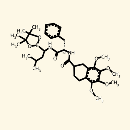 COc1c2c(c(OC)c(OC)c1OC)CC(C(=O)N[C@@H](Cc1ccccc1)C(=O)NC(CC(C)C)B1OC(C)(C)C(C)(C)O1)CC2